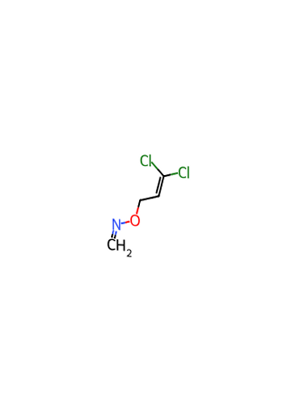 C=NOCC=C(Cl)Cl